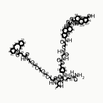 CC(C)[C@H](NC(=O)CCOCCOCCOCCOCCNC(=O)CCC(=O)N1Cc2ccccc2/C=C\c2ccccc21)C(O)N[C@@H](CCCNC(N)=O)C(=O)Nc1ccc(COC(=O)NCC(=O)NCOCC(=O)Nc2ccc3c(c2)[C@@]2(C)CCC[C@](C)(C(=O)NC(=O)[C@@]4(C)CCC[C@]5(C)c6cc(O)ccc6CC[C@@H]45)[C@@H]2CC3)cc1